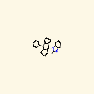 Cc1nc2ccccc2n1-c1c2ccccc2c(-c2ccccc2)c2ccccc12